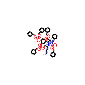 [CH2]/C=C/C=C\COP(OCc1[c]cccc1)Oc1cc(C[C@@](C)(C(=O)OCc2ccccc2)N(Cc2ccccc2)NC(=O)OCc2ccccc2)ccc1OP(OCc1ccccc1)OCc1ccccc1